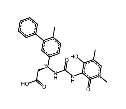 Cc1ccc([C@H](CC(=O)O)NC(=O)Nc2c(O)c(C)cn(C)c2=O)cc1-c1ccccc1